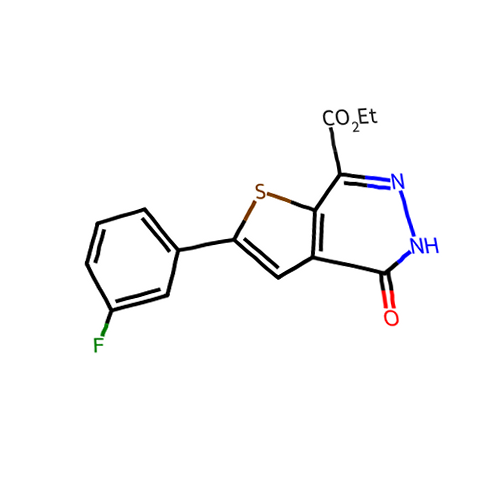 CCOC(=O)c1n[nH]c(=O)c2cc(-c3cccc(F)c3)sc12